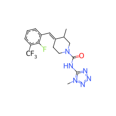 CC1CN(C(=O)Nc2nnnn2C)CCC1=Cc1cccc(C(F)(F)F)c1F